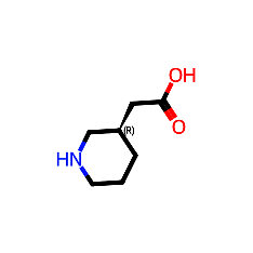 O=C(O)C[C@H]1CCCNC1